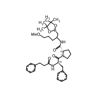 COCCCC(CB1OC(C)(C)C(C)(C)O1)NC(=O)[C@@H]1CCCN1C(=O)[C@@H](Cc1ccccc1)NC(=O)CCc1ccccc1